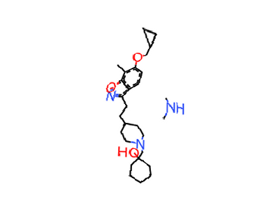 CNC.Cc1c(OCC2CC2)ccc2c(CCC3CCN(CC4(O)CCCCC4)CC3)noc12